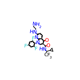 NCCNc1ccc2c(=O)c(C(=O)NC(C3CC3)C(F)(F)F)cn(-c3c(F)cc(F)cc3F)c2n1